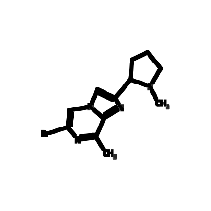 Cc1nc(Br)cn2cc(C3CCCN3C)nc12